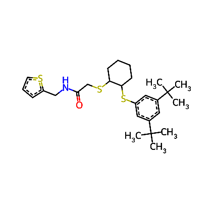 CC(C)(C)c1cc(SC2CCCCC2SCC(=O)NCc2cccs2)cc(C(C)(C)C)c1